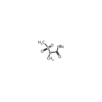 CCCCC(=O)N(C)S(C)(=O)=O